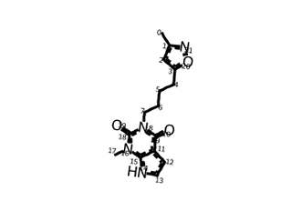 Cc1cc(CCCCn2c(=O)c3cc[nH]c3n(C)c2=O)on1